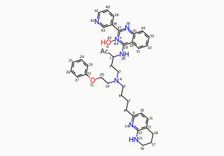 CC(=O)C(CCN(CCCCc1ccc2c(n1)NCCC2)CCOc1ccccc1)Nc1c2ccccc2nc(-c2cccnc2)[n+]1O